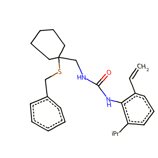 C=Cc1cccc(C(C)C)c1NC(=O)NCC1(SCc2ccccc2)CCCCC1